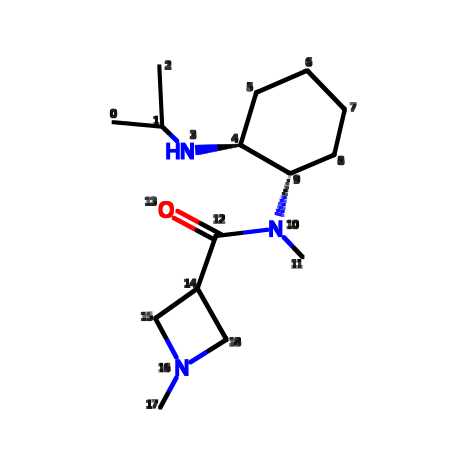 CC(C)N[C@H]1CCCC[C@@H]1N(C)C(=O)C1CN(C)C1